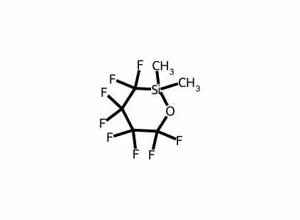 C[Si]1(C)OC(F)(F)C(F)(F)C(F)(F)C1(F)F